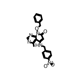 Cc1ncnc2c1c(NCc1ccc([N+](=O)[O-])cc1)cc(=O)n2OCc1ccccc1